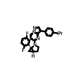 CC(C)c1ccc(-c2cnn3ccc(N4CC[C@H]5C[C@]54c4cc(F)ccc4F)nc23)cc1